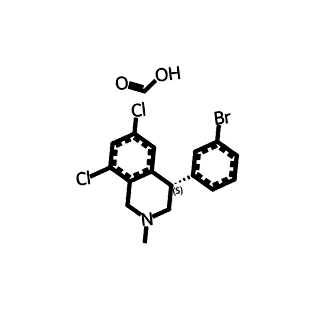 CN1Cc2c(Cl)cc(Cl)cc2[C@H](c2cccc(Br)c2)C1.O=CO